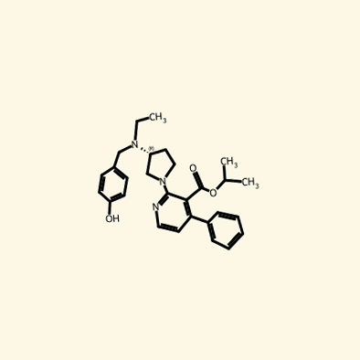 CCN(Cc1ccc(O)cc1)[C@@H]1CCN(c2nccc(-c3ccccc3)c2C(=O)OC(C)C)C1